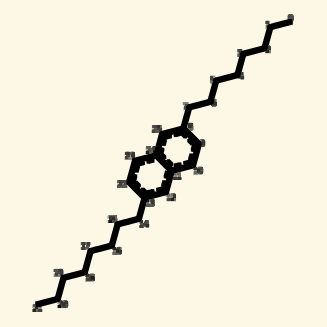 CCCCCCCCc1ccc2cc(CCCCCCCC)ccc2c1